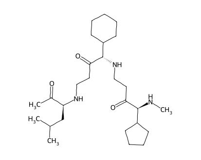 CN[C@H](C(=O)CCN[C@H](C(=O)CCN[C@@H](CC(C)C)C(C)=O)C1CCCCC1)C1CCCC1